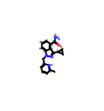 Cc1cccc(Cn2nc(C3CC3)c3c(C(N)=O)cccc32)n1